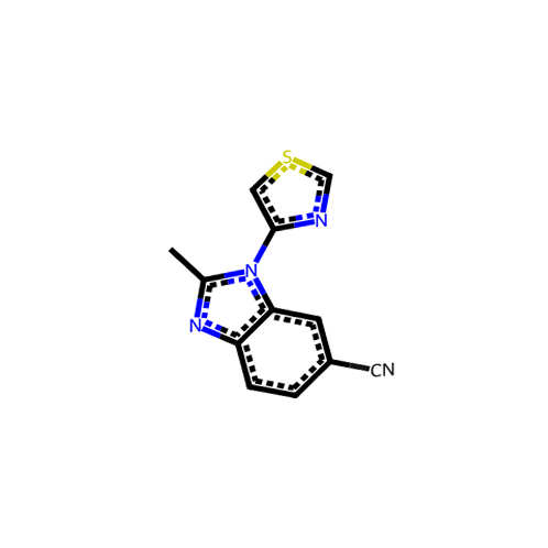 Cc1nc2ccc(C#N)cc2n1-c1cscn1